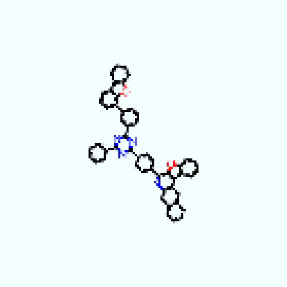 c1ccc(-c2nc(-c3ccc(-c4nc5cc6ccccc6cc5c5c4oc4ccccc45)cc3)nc(-c3cccc(-c4cccc5c4oc4ccccc45)c3)n2)cc1